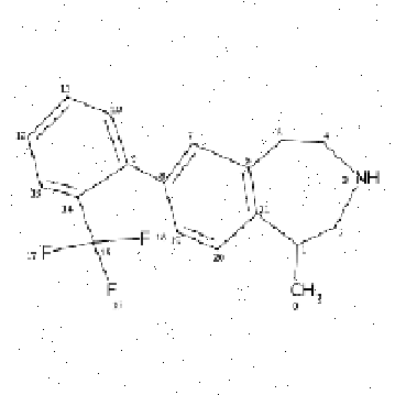 CC1CNCCc2cc(-c3ccccc3C(F)(F)F)ccc21